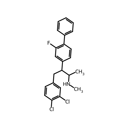 CNC(C)C(Cc1ccc(Cl)c(Cl)c1)c1ccc(-c2ccccc2)c(F)c1